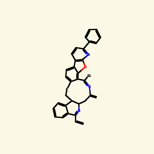 C=CC1=NC2CC(=C)/N=C(/CC)c3c(ccc4c3oc3nc(-c5ccccc5)ccc34)CCC2c2ccccc21